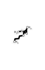 CCCCOC1([SiH2]C)OC1C